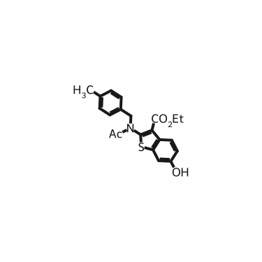 CCOC(=O)c1c(N(Cc2ccc(C)cc2)C(C)=O)sc2cc(O)ccc12